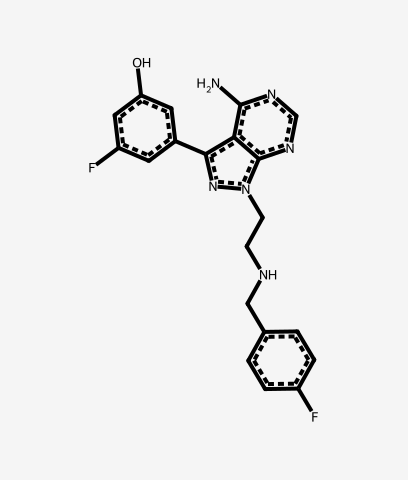 Nc1ncnc2c1c(-c1cc(O)cc(F)c1)nn2CCNCc1ccc(F)cc1